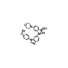 CC(C)Oc1ccc(-n2cnc3ccc(Br)cc32)cc1.OB(O)c1ccc(N2CCOCC2)cc1